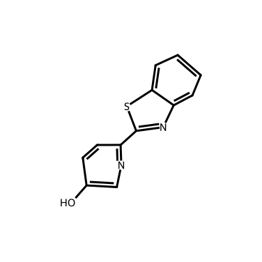 Oc1ccc(-c2nc3ccccc3s2)nc1